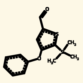 C[Si](C)(C)c1sc(C=O)cc1Oc1ccccc1